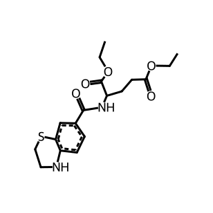 CCOC(=O)CCC(NC(=O)c1ccc2c(c1)SCCN2)C(=O)OCC